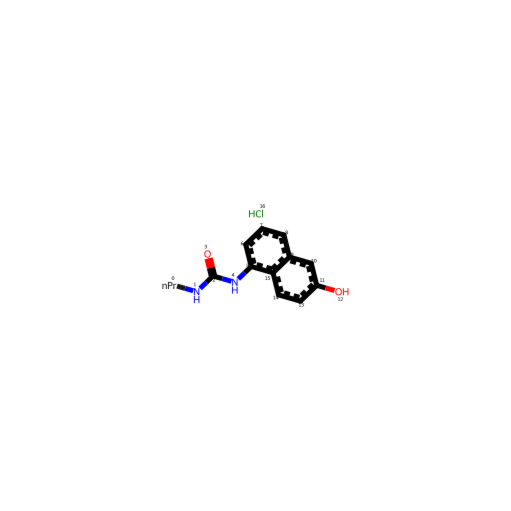 CCCNC(=O)Nc1cccc2cc(O)ccc12.Cl